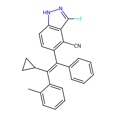 Cc1ccccc1/C(=C(\c1[c]cccc1)c1ccc2[nH]nc(F)c2c1C#N)C1CC1